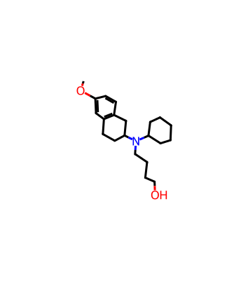 COc1ccc2c(c1)CCC(N(CCCCO)C1CCCCC1)C2